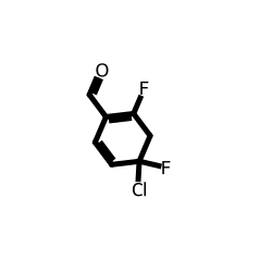 O=CC1=C(F)CC(F)(Cl)C=C1